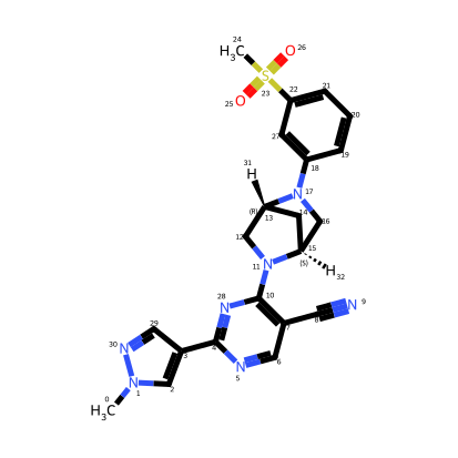 Cn1cc(-c2ncc(C#N)c(N3C[C@H]4C[C@H]3CN4c3cccc(S(C)(=O)=O)c3)n2)cn1